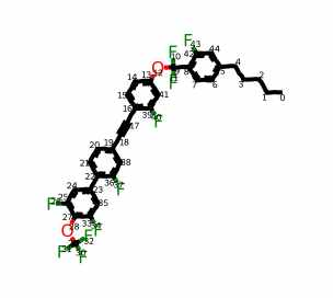 CCCCCc1ccc(C(F)(F)Oc2ccc(C#Cc3ccc(-c4cc(F)c(OC(F)(F)F)c(F)c4)c(F)c3)c(F)c2)c(F)c1